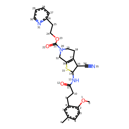 COc1ccc(C)cc1CCC(=O)NC1SC2=C(CCN(C(=O)OCCc3ccccn3)C2)C1C#N